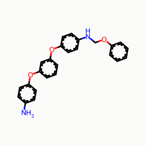 Nc1ccc(Oc2cccc(Oc3ccc(NCOc4ccccc4)cc3)c2)cc1